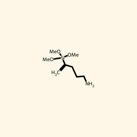 C=C(CCCN)[Si](OC)(OC)OC